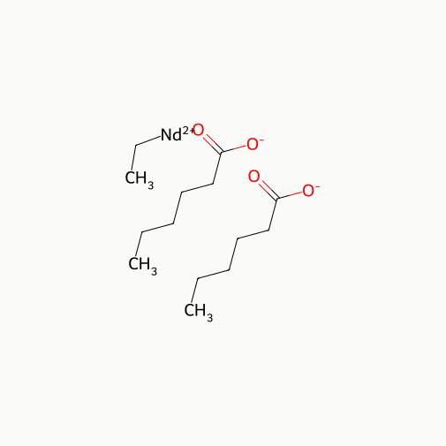 CCCCCC(=O)[O-].CCCCCC(=O)[O-].C[CH2][Nd+2]